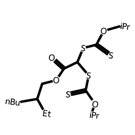 CCCCC(CC)COC(=O)C(SC(=S)OC(C)C)SC(=S)OC(C)C